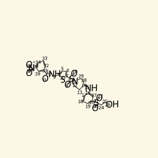 O=C(NCc1ccc(S(=O)(=O)N2CCC(Nc3cccc(S(=O)(=O)CCO)c3)CC2)s1)c1cccc([N+](=O)[O-])c1